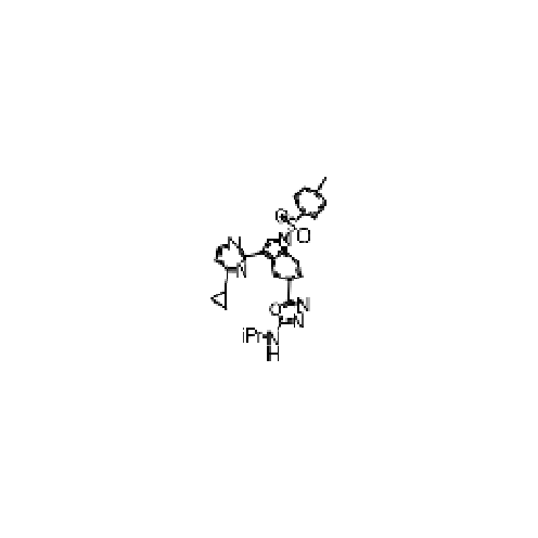 Cc1ccc(S(=O)(=O)n2cc(-c3nccc(C4CC4)n3)c3cc(-c4nnc(NC(C)C)o4)ccc32)cc1